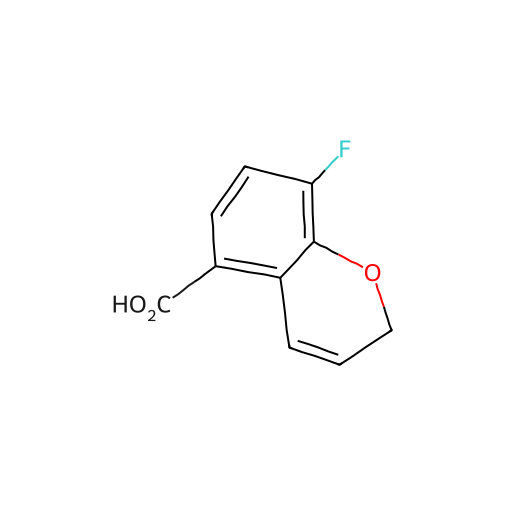 O=C(O)c1ccc(F)c2c1C=CCO2